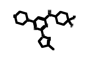 CC1=NN(c2nc(NC3CCC(F)(F)CC3)cc(N3CCOCC3)n2)CC1